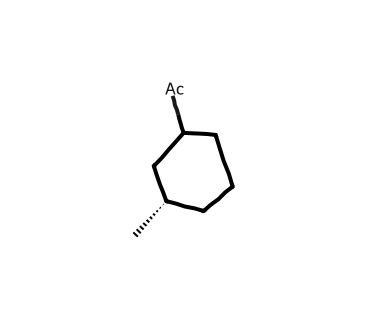 CC(=O)C1CCC[C@H](C)C1